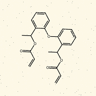 C=CC(=O)OC(C)c1ccccc1Oc1ccccc1C(C)OC(=O)C=C